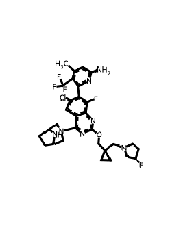 Cc1cc(N)nc(-c2c(Cl)cc3c(N4CC5CCC(C4)N5)nc(OCC4(CN5CC[C@@H](F)C5)CC4)nc3c2F)c1C(F)(F)F